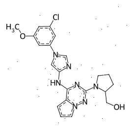 COc1cc(Cl)cc(-n2cnc(Nc3nc(N4CCCC4CO)nn4cccc34)c2)c1